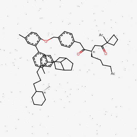 CC(=O)CCCC[C@H](CC(=O)C1(C(C)=O)CCC1)C(=O)Cc1ccc(COc2ccc(C)cc2-c2ccc(C)c(C3CC4CCC(C3)C4c3cccc(CCCC4CCCC[C@H]4C)c3)c2)cc1